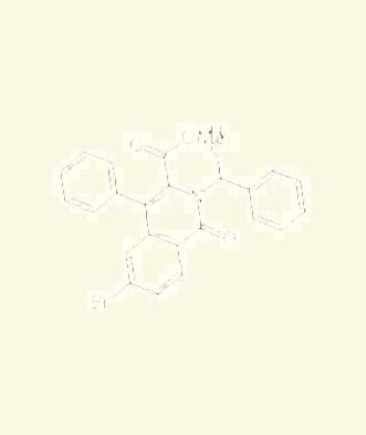 COC(=O)c1c(-c2ccccc2)c2cc(Br)ccc2c(=O)n1C(C)c1ccccc1